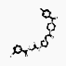 Cc1ccc(C(=O)N2CCN(C(=O)CN3CC[C@@H](NC(=O)CNC(=O)c4cccc(C(F)(F)F)c4)C3)CC2)cc1